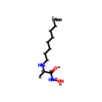 CCCCCCCCCCCCCCCCNC(C)C(=O)NO